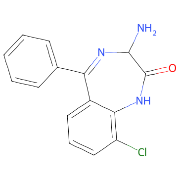 NC1N=C(c2ccccc2)c2cccc(Cl)c2NC1=O